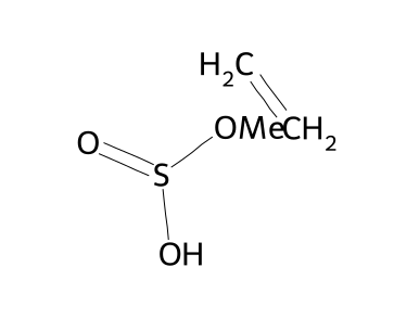 C=C.COS(=O)O